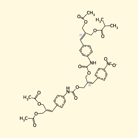 CC(=O)OCC(=Cc1ccc(NC(=O)OC/C(=C/c2ccc([N+](=O)[O-])cc2)COC(=O)Nc2ccc(/C=C(/COC(C)=O)COC(=O)C(C)C)cc2)cc1)COC(C)=O